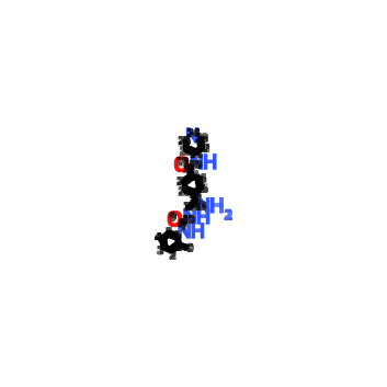 Cc1ccccc1NC(=O)NCC(N)c1ccc(C(=O)Nc2ccncc2)cc1